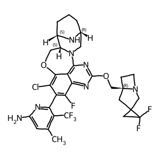 Cc1cc(N)nc(-c2c(Cl)c3c4c(nc(OC[C@@]56CCN5CC5(CC5(F)F)C6)nc4c2F)N2C[C@H]4CCC[C@H](N4)[C@H]2CO3)c1C(F)(F)F